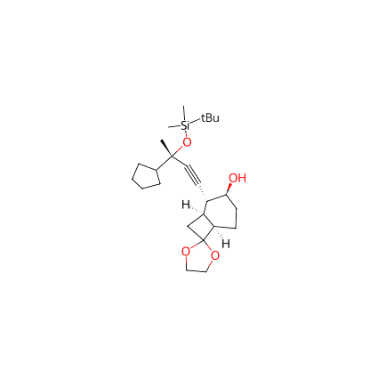 CC(C)(C)[Si](C)(C)O[C@](C)(C#C[C@H]1[C@@H]2CC3(OCCO3)[C@@H]2CC[C@@H]1O)C1CCCC1